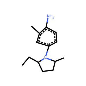 CCC1CCC(C)N1c1ccc(N)c(C)c1